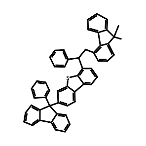 CC1(C)c2ccccc2-c2c(CC(c3ccccc3)c3cccc4c3sc3cc(C5(c6ccccc6)c6ccccc6-c6ccccc65)ccc34)cccc21